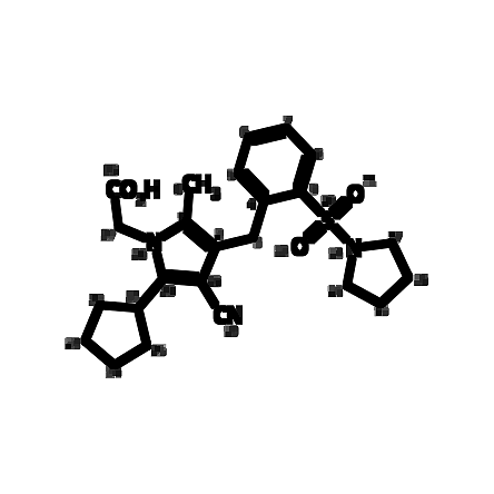 Cc1c(Cc2ccccc2S(=O)(=O)N2CCCC2)c(C#N)c(C2CCCC2)n1CC(=O)O